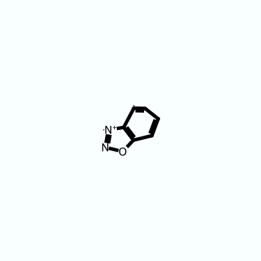 [c]1cccc2c1[N+]=NO2